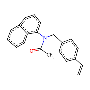 C=Cc1ccc(CN(C(=O)C(F)(F)F)c2cccc3ccccc23)cc1